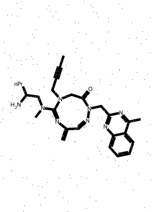 C=C1/C=N\N(Cc2nc(C)c3ccccc3n2)C(=O)CN(CC#CC)/C(N(C)CC(N)CCC)=N\1